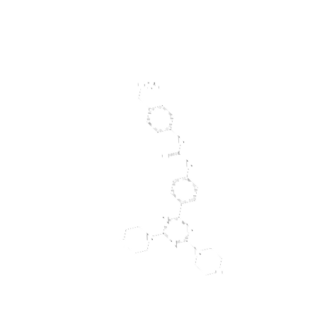 COCc1ccc(NC(=O)Nc2ccc(-c3nc(N4CCOC[C@H]4C)nc(N4CCOC[C@H]4C)n3)cc2)cc1